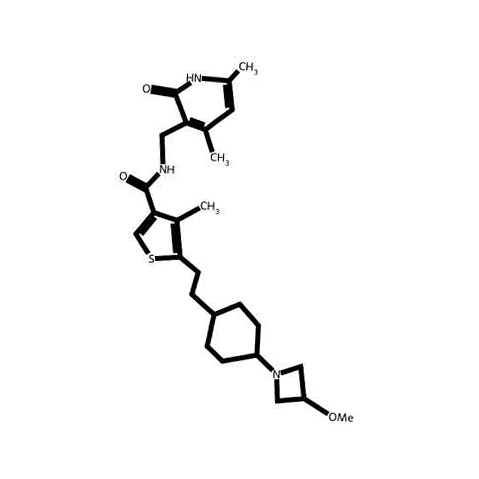 COC1CN(C2CCC(CCc3scc(C(=O)NCc4c(C)cc(C)[nH]c4=O)c3C)CC2)C1